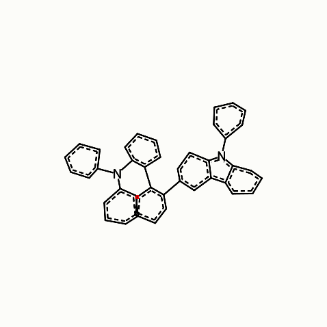 c1ccc(N(c2ccccc2)c2ccccc2-c2ccccc2-c2ccc3c(c2)c2ccccc2n3-c2ccccc2)cc1